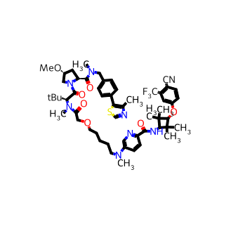 CO[C@@H]1C[C@@H](C(=O)N(C)Cc2ccc(-c3scnc3C)cc2)N(C(=O)[C@@H](N(C)C(=O)COCCCCCN(C)c2ccc(C(=O)NC3C(C)(C)C(Oc4ccc(C#N)c(C(F)(F)F)c4)C3(C)C)nc2)C(C)(C)C)C1